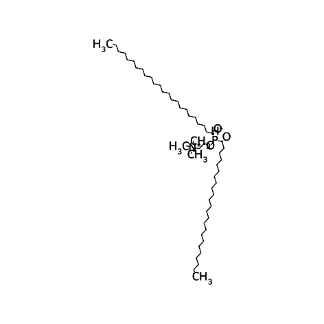 CCCCCCCCCCCCCCCCCCCCCCCC(=O)[PH-](OCC[N+](C)(C)C)C(=O)CCCCCCCCCCCCCCCCCCCCCCC